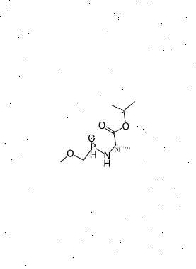 COC[PH](=O)N[C@@H](C)C(=O)OC(C)C